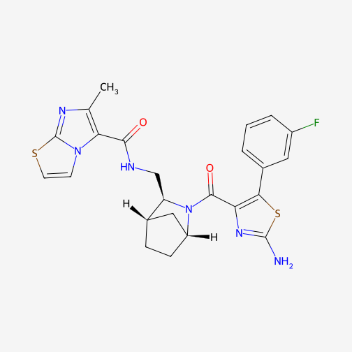 Cc1nc2sccn2c1C(=O)NC[C@@H]1[C@H]2CC[C@H](C2)N1C(=O)c1nc(N)sc1-c1cccc(F)c1